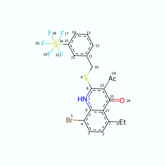 CCc1ccc(Br)c2[nH]c(SCc3cccc(S(F)(F)(F)(F)F)c3)c(C(C)=O)c(=O)c12